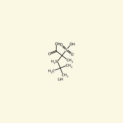 CC(C)(C)[SiH2]C(C)(C(=O)O)S(=O)(=O)O.[LiH]